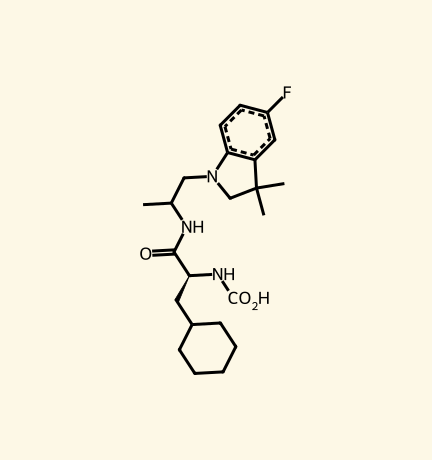 CC(CN1CC(C)(C)c2cc(F)ccc21)NC(=O)[C@H](CC1CCCCC1)NC(=O)O